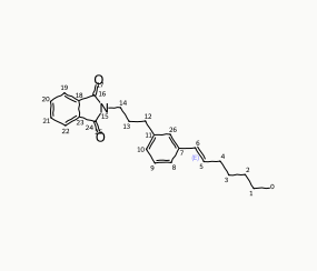 CCCCC/C=C/c1cccc(CCCN2C(=O)c3ccccc3C2=O)c1